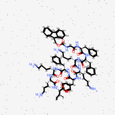 CC[C@H](C)[C@H](NC(=O)[C@H](CCCCN)NC(=O)[C@H](CCCCN)NC(=O)[C@H](Cc1ccccc1)NC(=O)[C@H](Cc1ccccc1)NC(=O)[C@H](CCCCN)NC(=O)[C@H](CCCCN)NC(=O)[C@H](Cc1ccccc1)NC(=O)[C@H](Cc1ccccc1)NC(=O)CNC(=O)OCC1c2ccccc2-c2ccccc21)C(=O)O